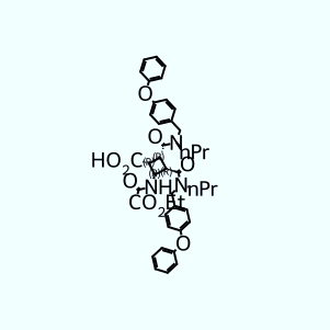 CCCN(Cc1ccc(Oc2ccccc2)cc1)C(=O)[C@H]1[C@@H](C(=O)O)[C@H](NC(=O)C(=O)OCC)[C@@H]1C(=O)N(CCC)Cc1ccc(Oc2ccccc2)cc1